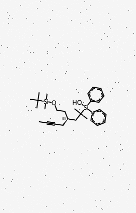 CC#CC[C@@H](CCO[Si](C)(C)C(C)(C)C)CC(C)(C)[Si](O)(c1ccccc1)c1ccccc1